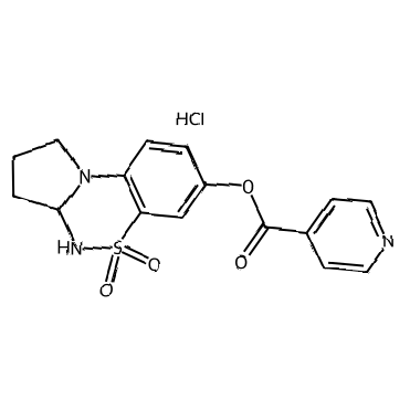 Cl.O=C(Oc1ccc2c(c1)S(=O)(=O)NC1CCCN21)c1ccncc1